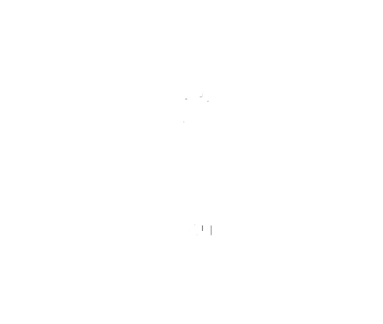 C1CCC1.C1COCO1.C=C(C)C.OCCO